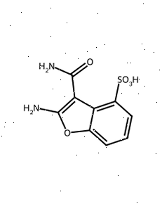 NC(=O)c1c(N)oc2cccc(S(=O)(=O)O)c12